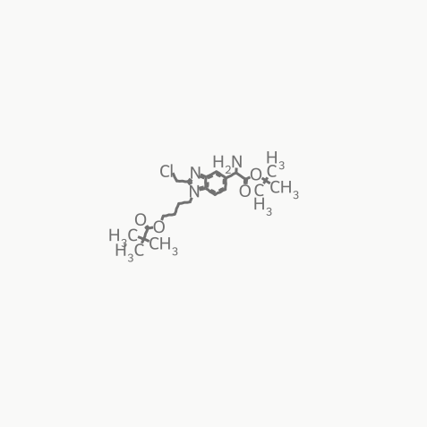 CC(C)(C)OC(=O)C(N)c1ccc2c(c1)nc(CCl)n2CCCCOC(=O)C(C)(C)C